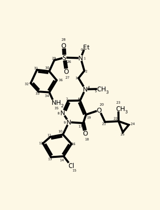 CCN(CCN(C)c1cnn(-c2cccc(Cl)c2)c(=O)c1OCC1(C)CC1)S(=O)(=O)Cc1cccc(N)c1